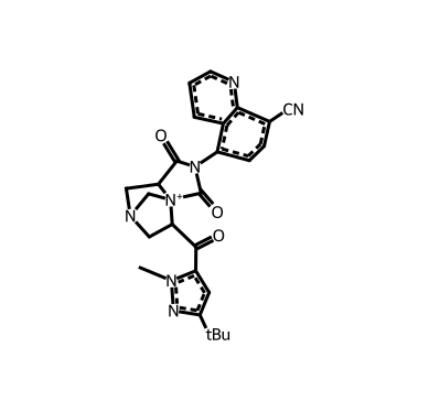 Cn1nc(C(C)(C)C)cc1C(=O)C1CN2CC3C(=O)N(c4ccc(C#N)c5ncccc45)C(=O)[N+]13C2